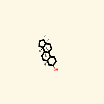 C[C@H]1CC[C@H]2[C@@H]3CC[C@@H]4C[C@H](O)CC[C@]4(C)[C@H]3CC[C@]12C